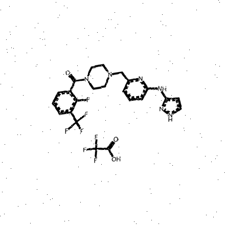 O=C(O)C(F)(F)F.O=C(c1cccc(C(F)(F)F)c1F)N1CCN(Cc2cccc(Nc3cc[nH]n3)n2)CC1